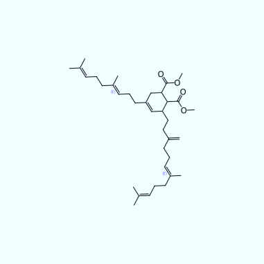 C=C(CC/C=C(\C)CCC=C(C)C)CCC1C=C(CC/C=C(\C)CCC=C(C)C)CC(C(=O)OC)C1C(=O)OC